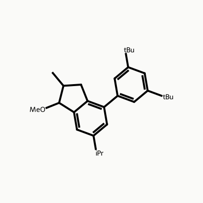 COC1c2cc(C(C)C)cc(-c3cc(C(C)(C)C)cc(C(C)(C)C)c3)c2CC1C